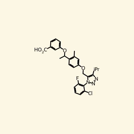 Cc1cc(OCc2c(C(C)C)nnn2-c2c(F)cccc2Cl)ccc1C(C)Oc1cccc(C(=O)O)c1